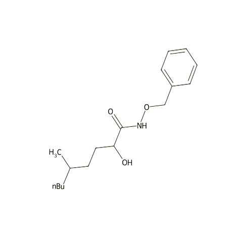 CCCCC(C)CCC(O)C(=O)NOCc1ccccc1